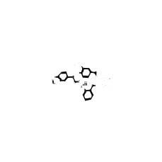 CCCc1cc(C(=O)OC)ccc1OC(C(=O)NS(=O)(=O)c1ccccc1C(=O)OC)c1ccc2c(c1)OCO2